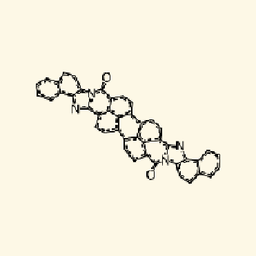 O=c1c2ccc3c4ccc5c6c(ccc(c7ccc(c2c37)c2nc3c7ccccc7ccc3n12)c46)c(=O)n1c2ccc3ccccc3c2nc51